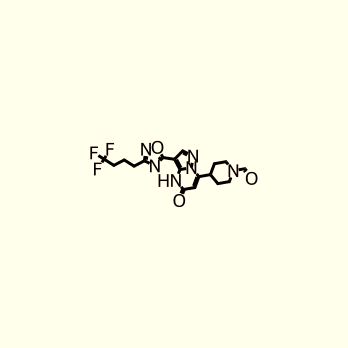 O=CN1CCC(c2cc(=O)[nH]c3c(-c4nc(CCCC(F)(F)F)no4)cnn23)CC1